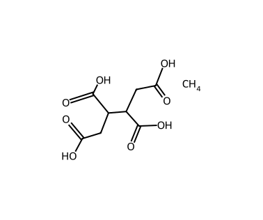 C.O=C(O)CC(C(=O)O)C(CC(=O)O)C(=O)O